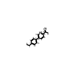 CCc1ccc(-c2ccc(C(C)=O)nc2)cc1